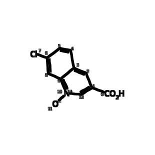 O=C(O)c1cc2ccc(Cl)cc2[n+]([O-])c1